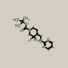 CC(C)(C)OC(=O)N1CCC(CNc2ncccn2)C(F)(F)C1